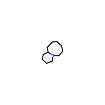 [CH]1CCCN2CCCCCCC12